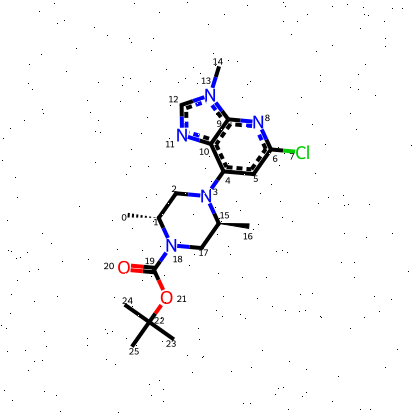 C[C@@H]1CN(c2cc(Cl)nc3c2ncn3C)[C@@H](C)CN1C(=O)OC(C)(C)C